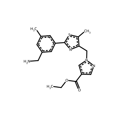 CCOC(=O)c1cnn(Cc2nc(-c3cc(C)cc(CN)c3)sc2C)c1